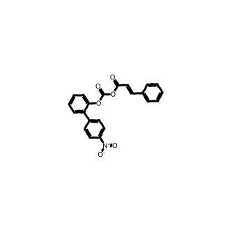 O=C(C=Cc1ccccc1)OC(=O)Oc1ccccc1-c1ccc([N+](=O)[O-])cc1